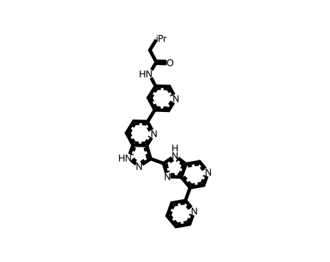 CC(C)CC(=O)Nc1cncc(-c2ccc3[nH]nc(-c4nc5c(-c6ccccn6)cncc5[nH]4)c3n2)c1